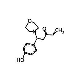 C=CC(=O)CC(c1ccc(O)cc1)N1CCOCC1